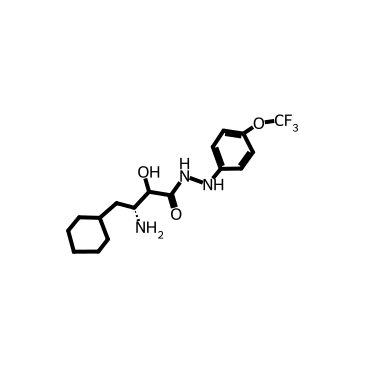 N[C@H](CC1CCCCC1)C(O)C(=O)NNc1ccc(OC(F)(F)F)cc1